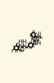 Cc1cc(C)c(NC(=O)NCC2CCC(Nc3nc4c(c(N(C)C)n3)CCCC4)CC2)c(C)c1